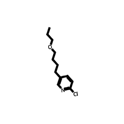 CCCOCCCCc1ccc(Cl)nc1